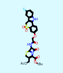 CC(=O)OCC1=C(C(=O)OC(C)(C)C)N2C(=O)C(NC(=O)COc3ccc4c(c3)S(=O)(=O)Cc3c-4[nH]c4ccc(F)cc34)C2SC1